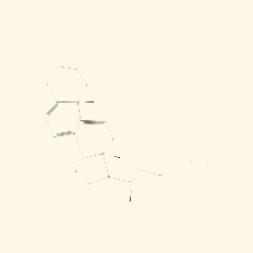 C[C@@H]1CC[C@@]2(C)C(=CC=C3C2=CC[C@@]2(C)C3CCC2[C@H](C)CCC(=O)O)C1